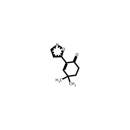 CC1(C)C=C(c2ccno2)C(=O)CC1